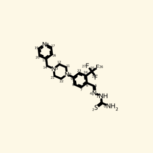 NC(=S)N/N=C/c1ccc(N2CCN(Cc3ccncc3)CC2)cc1C(F)(F)F